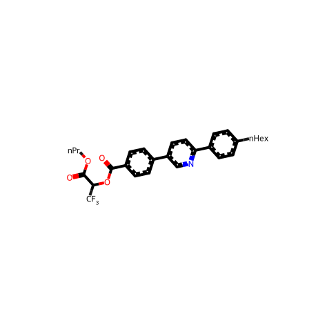 CCCCCCc1ccc(-c2ccc(-c3ccc(C(=O)OC(C(=O)OCCC)C(F)(F)F)cc3)cn2)cc1